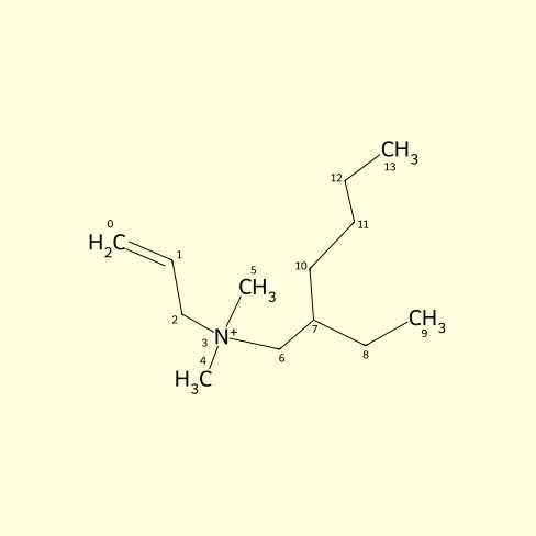 C=CC[N+](C)(C)CC(CC)CCCC